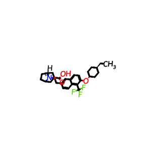 CC[C@H]1CC[C@@H](Oc2ccc3cc(CCN4C5CC[C@H]4CC(C(=O)O)C5)ccc3c2C(F)(F)F)CC1